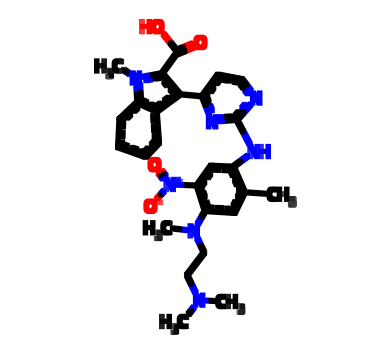 Cc1cc(N(C)CCN(C)C)c([N+](=O)[O-])cc1Nc1nccc(-c2c(C(=O)O)n(C)c3ccccc23)n1